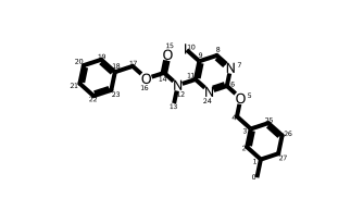 CC1C=C(COc2ncc(I)c(N(C)C(=O)OCc3ccccc3)n2)C=CC1